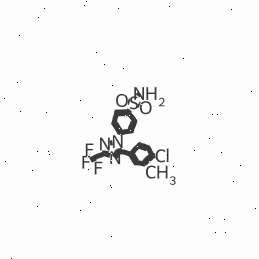 Cc1cc(-c2nc(C(F)(F)F)nn2-c2ccc(S(N)(=O)=O)cc2)ccc1Cl